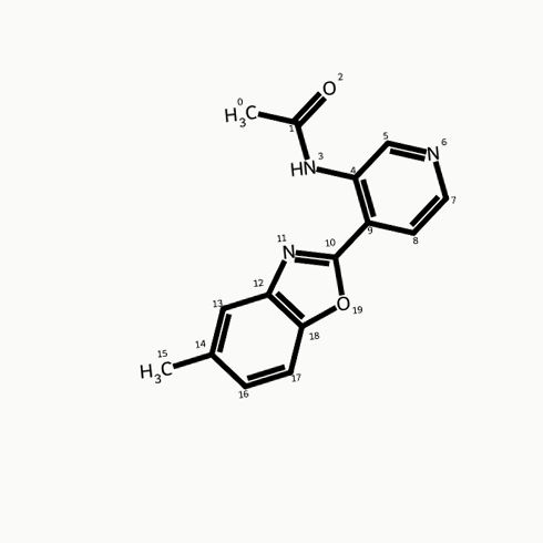 CC(=O)Nc1cnccc1-c1nc2cc(C)ccc2o1